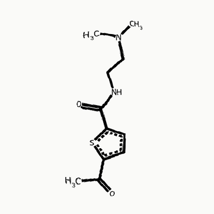 CC(=O)c1ccc(C(=O)NCCN(C)C)s1